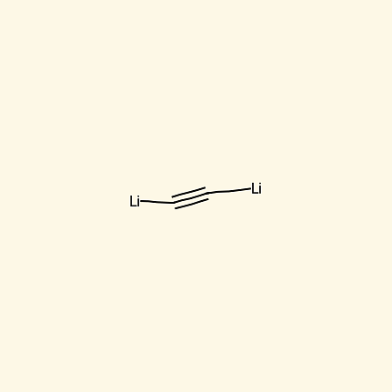 [Li][C]#[C][Li]